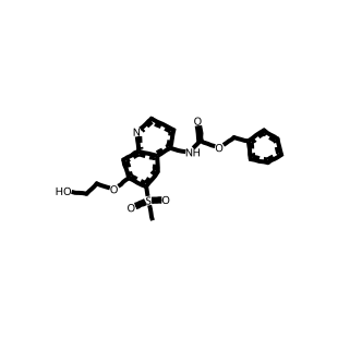 CS(=O)(=O)c1cc2c(NC(=O)OCc3ccccc3)ccnc2cc1OCCO